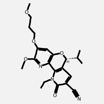 CCn1c2c(cc(C#N)c1=O)[C@@H](C(C)C)Oc1cc(OCCCOC)c(OC)nc1-2